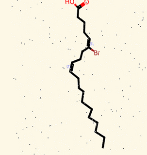 CCCCCCCCCC/C=C\CC/C(Br)=C\CCCC(=O)O